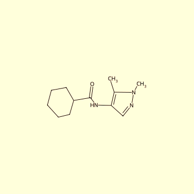 Cc1c(NC(=O)C2CCCCC2)cnn1C